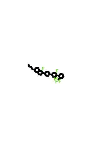 C=CCCc1ccc2c(F)c(-c3ccc(-c4cc(F)c(-c5ccccc5C(F)(F)F)c(F)c4)cc3)ccc2c1